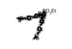 C=CC(=O)OCCC[C@H]1CC[C@H](CCc2ccc(C(=O)Oc3ccc(C(=O)OCC)cc3OC(=O)c3ccc(CC[C@H]4CC[C@H](CCCOC(=O)C=C)CC4)cc3)cc2)CC1